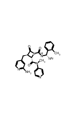 CCC[C@H](NC(=O)N1C(=O)[C@H](Cc2ccnc(N)c2)[C@H]1C(=O)N(C)c1ccncc1)c1ccccc1C